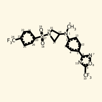 CN(c1ccc(-c2noc(C(F)(F)F)n2)cc1)C1CN(S(=O)(=O)c2ccc(C(F)(F)F)cc2)C1